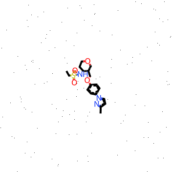 CCS(=O)(=O)NC1CCOCC1COc1ccc(-n2ccc(C)n2)cc1